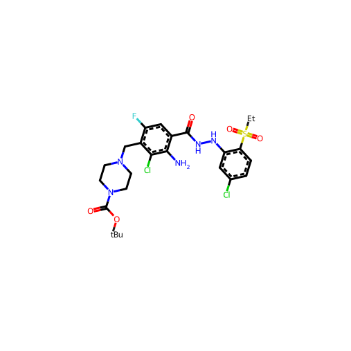 CCS(=O)(=O)c1ccc(Cl)cc1NNC(=O)c1cc(F)c(CN2CCN(C(=O)OC(C)(C)C)CC2)c(Cl)c1N